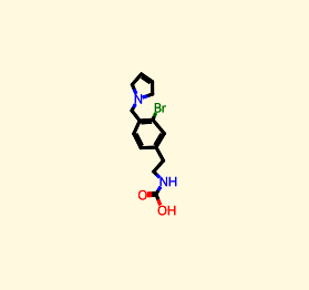 O=C(O)NCCc1ccc(CN2CC=CC2)c(Br)c1